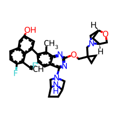 C#Cc1c(F)ccc2cc(O)cc(-c3c(F)cc4c(N5CC6CCC(C5)N6)nc(OCC5(CN6C[C@@H]7C[C@H]6CO7)CC5)nc4c3C)c12